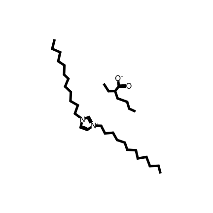 CCCCC(CC)C(=O)[O-].CCCCCCCCCCCCn1cc[n+](CCCCCCCCCCCC)c1